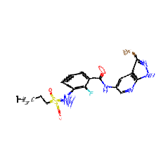 CCCS(=O)(=O)Nc1cccc(C(=O)Nc2cnc3[nH]nc(Br)c3c2)c1F